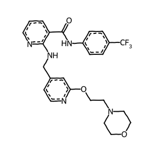 O=C(Nc1ccc(C(F)(F)F)cc1)c1cccnc1NCc1ccnc(OCCN2CCOCC2)c1